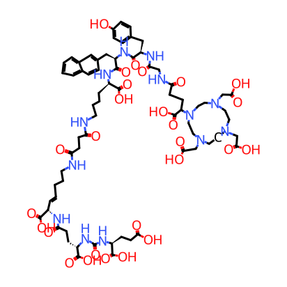 O=C(O)CC[C@H](NC(=O)N[C@@H](CCC(=O)N[C@@H](C=CCCCNC(=O)CCC(=O)NCCCC[C@@H](NC(=O)[C@@H](Cc1ccc2ccccc2c1)NC(=O)[C@@H](Cc1ccc(O)cc1)NC(=O)CNC(=O)CCC(C(=O)O)N1CCN(CC(=O)O)CCN(CC(=O)O)CCN(CC(=O)O)CC1)C(=O)O)C(=O)O)C(=O)O)C(=O)O